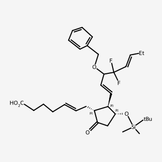 CCC=CC(F)(F)C(C=C[C@H]1[C@H](O[Si](C)(C)C(C)(C)C)CC(=O)[C@@H]1CC=CCCCC(=O)O)OCc1ccccc1